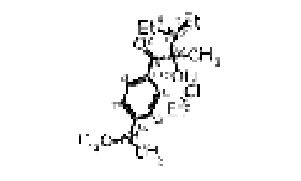 CCCl.CCN(CC)C(C)(O)C(=O)c1ccc(N(C)C)cc1